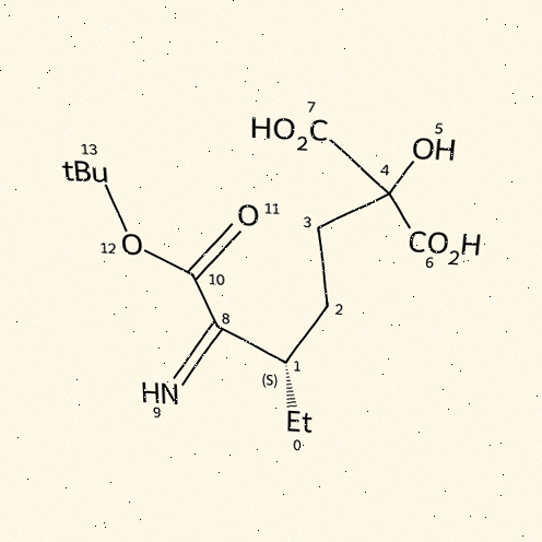 CC[C@@H](CCC(O)(C(=O)O)C(=O)O)C(=N)C(=O)OC(C)(C)C